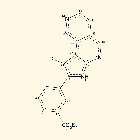 CCOC(=O)c1cccc(-c2[nH]c3ncc4ccncc4c3c2C)c1